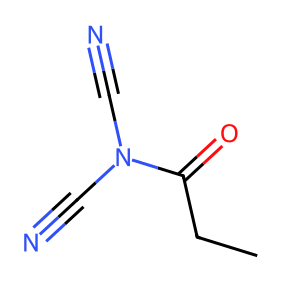 CCC(=O)N(C#N)C#N